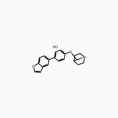 Cl.c1cc2cc(-c3ccc(OC4CN5CCC4CC5)cc3)ccc2o1